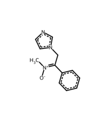 C[N+]([O-])=C(Cn1ccnc1)c1ccccc1